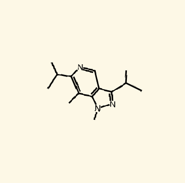 Cc1c(C(C)C)ncc2c(C(C)C)nn(C)c12